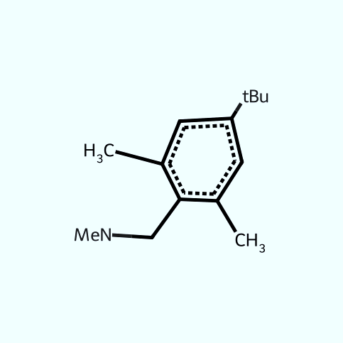 CNCc1c(C)cc(C(C)(C)C)cc1C